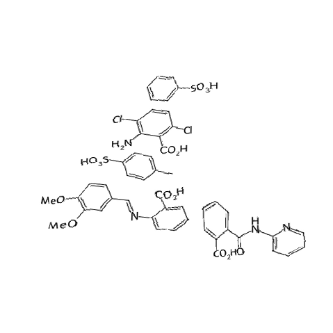 COc1ccc(C=Nc2ccccc2C(=O)O)cc1OC.Cc1ccc(S(=O)(=O)O)cc1.Nc1c(Cl)ccc(Cl)c1C(=O)O.O=C(O)c1ccccc1C(=O)Nc1ccccn1.O=S(=O)(O)c1ccccc1